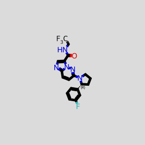 O=C(NCC(F)(F)F)c1cnc2ccc(N3CCC[C@@H]3c3cccc(F)c3)nn12